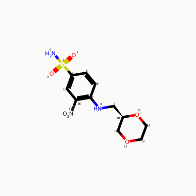 NS(=O)(=O)c1ccc(NC[C@@H]2COCCO2)c([N+](=O)[O-])c1